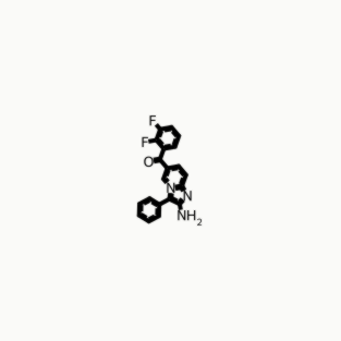 Nc1nc2ccc(C(=O)c3cccc(F)c3F)cn2c1-c1ccccc1